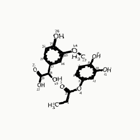 CCC(=O)Oc1ccc(O)c(O)c1.COc1cc(C(O)C(=O)O)ccc1O